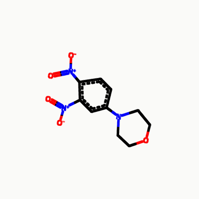 O=[N+]([O-])c1ccc(N2CCOCC2)cc1[N+](=O)[O-]